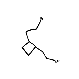 BrCCC1CCC1CCBr